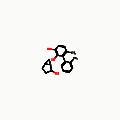 Cc1ccccc1-c1c(C)ccc(O)c1O.OC1CCC2CC12